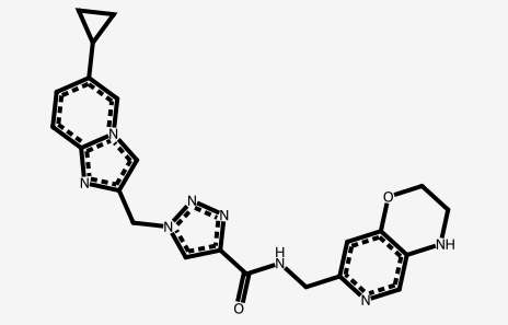 O=C(NCc1cc2c(cn1)NCCO2)c1cn(Cc2cn3cc(C4CC4)ccc3n2)nn1